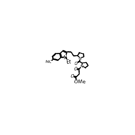 CCn1c(CCC2CCCN2C(=O)C2CCCN2C(=O)CC(=O)OC)cc2ccc(C#N)cc21